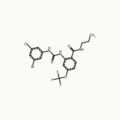 CCCNC(=O)c1ccc(OC(F)(F)F)cc1NC(=O)Nc1cc(Cl)cc(Br)c1